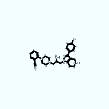 N#Cc1ccccc1N1CCN(CC(O)Cn2nc(-c3ccc(I)cc3)c3c2CCNC3)CC1